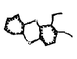 CCc1ccc2c(c1CC)[N]c1ccccc1O2